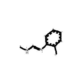 CNC=Nc1ccccc1C